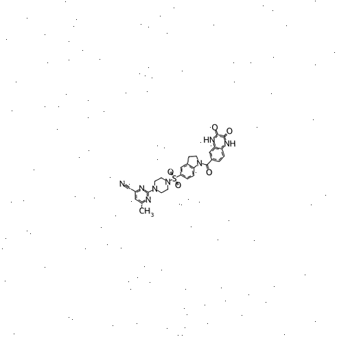 Cc1cc(C#N)nc(N2CCN(S(=O)(=O)c3ccc4c(c3)CCN4C(=O)c3ccc4[nH]c(=O)c(=O)[nH]c4c3)CC2)n1